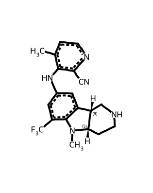 Cc1ccnc(C#N)c1Nc1cc2c(c(C(F)(F)F)c1)N(C)[C@H]1CCNC[C@@H]21